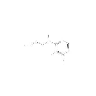 COCCN(C)c1ncnc(C)c1C